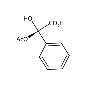 CC(=O)O[C@@](O)(C(=O)O)c1ccccc1